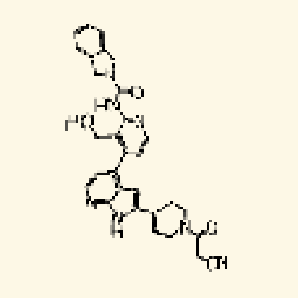 N#CCC(=O)N1CC=C(c2cc3c(-c4ccnc(NC(=O)N5Cc6ccccc6C5)c4CO)ccnc3[nH]2)CC1